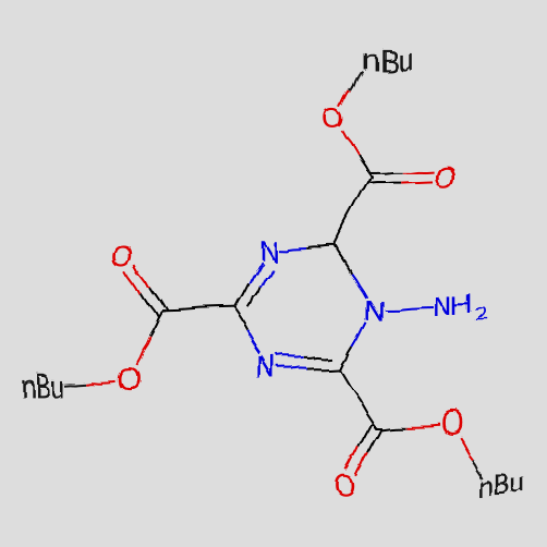 CCCCOC(=O)C1=NC(C(=O)OCCCC)N(N)C(C(=O)OCCCC)=N1